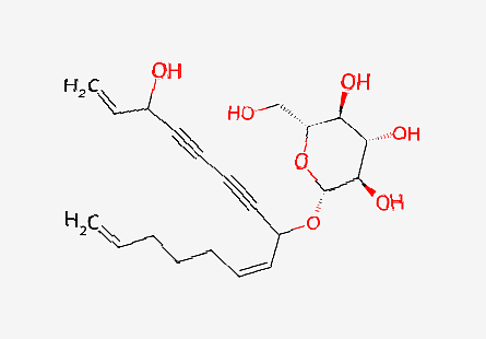 C=CCCC/C=C\C(C#CC#CC(O)C=C)O[C@@H]1O[C@H](CO)[C@@H](O)[C@H](O)[C@H]1O